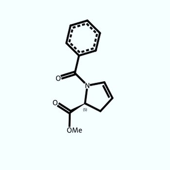 COC(=O)[C@@H]1CC=CN1C(=O)c1ccccc1